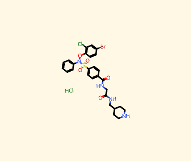 Cl.O=C(CNC(=O)c1ccc(S(=O)(=O)N(Oc2ccc(Br)cc2Cl)c2ccccc2)cc1)NCC1CCNCC1